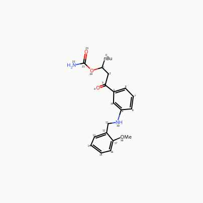 CCCCC(CC(=O)c1cccc(NCc2ccccc2OC)c1)OC(N)=O